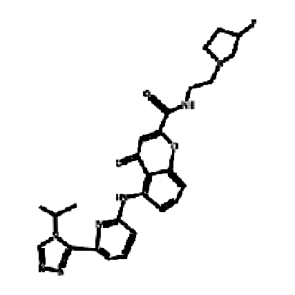 CC(C)n1cnnc1-c1cccc(Nc2cccc3oc(C(=O)NCCN4CCC(F)C4)cc(=O)c23)n1